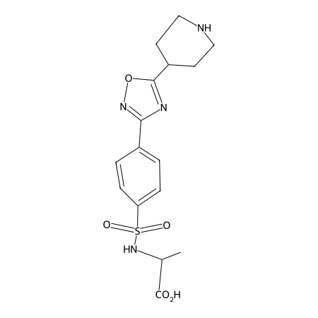 CC(NS(=O)(=O)c1ccc(-c2noc(C3CCNCC3)n2)cc1)C(=O)O